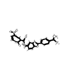 CC(C)c1ccc(-c2nc3cc(NC(=O)c4cc([N+](=O)[O-])ccc4Cl)ccc3o2)cc1